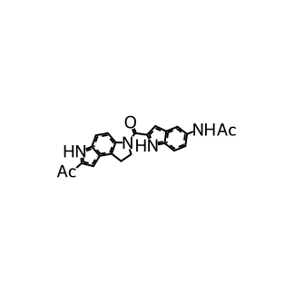 CC(=O)Nc1ccc2[nH]c(C(=O)N3CCc4c3ccc3[nH]c(C(C)=O)cc43)cc2c1